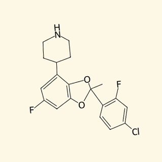 CC1(c2ccc(Cl)cc2F)Oc2cc(F)cc(C3CCNCC3)c2O1